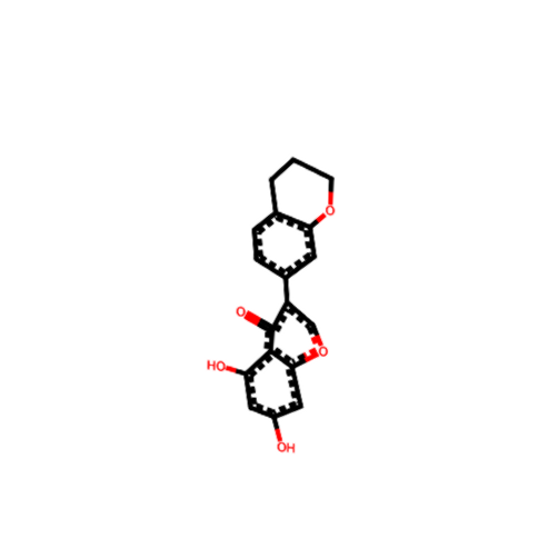 O=c1c(-c2ccc3c(c2)OCCC3)coc2cc(O)cc(O)c12